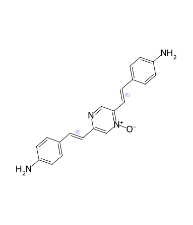 Nc1ccc(/C=C/c2c[n+]([O-])c(/C=C/c3ccc(N)cc3)cn2)cc1